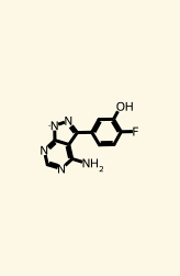 Nc1ncnc2c1C(c1ccc(F)c(O)c1)=N[N]2